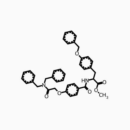 COC(=O)C(Cc1ccc(OCc2ccccc2)cc1)NC(=O)c1ccc(OCC(=O)N(Cc2ccccc2)Cc2ccccc2)cc1